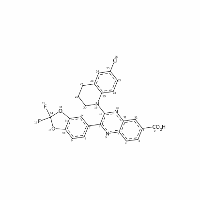 O=C(O)c1ccc2nc(-c3ccc4c(c3)OC(F)(F)O4)c(N3CCCc4cc(Cl)ccc43)nc2c1